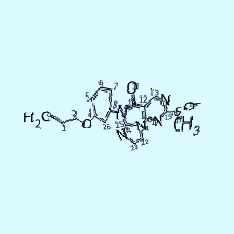 C=CCOc1cccc(-n2c(=O)c3cnc([S+](C)[O-])nc3n3ccnc23)c1